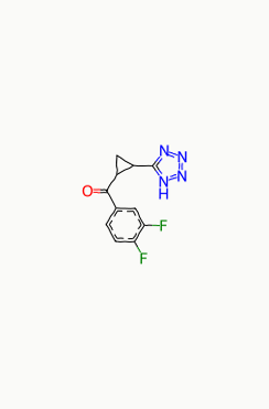 O=C(c1ccc(F)c(F)c1)C1CC1c1nnn[nH]1